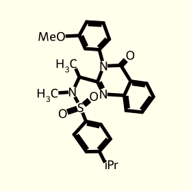 COc1cccc(-n2c(C(C)N(C)S(=O)(=O)c3ccc(C(C)C)cc3)nc3ccccc3c2=O)c1